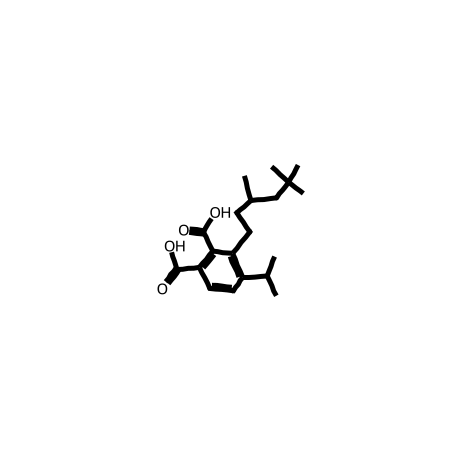 CC(CCc1c(C(C)C)ccc(C(=O)O)c1C(=O)O)CC(C)(C)C